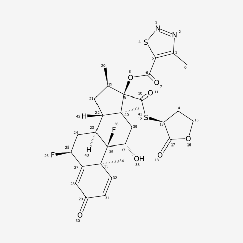 Cc1nnsc1C(=O)O[C@]1(C(=O)S[C@H]2CCOC2=O)[C@H](C)C[C@H]2[C@@H]3C[C@H](F)C4=CC(=O)C=C[C@]4(C)[C@@]3(F)[C@@H](O)C[C@@]21C